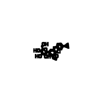 OC[C@H]1OC(C2C=C(Cc3ccc(C4CC4)cc3)C(Cl)=C3OCCC3=C2)[C@H](O)[C@@H](O)[C@@H]1O